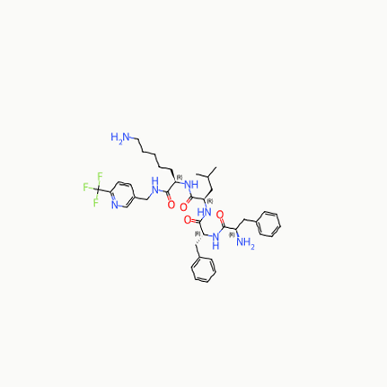 CC(C)C[C@@H](NC(=O)[C@@H](Cc1ccccc1)NC(=O)[C@H](N)Cc1ccccc1)C(=O)N[C@H](CCCCCN)C(=O)NCc1ccc(C(F)(F)F)nc1